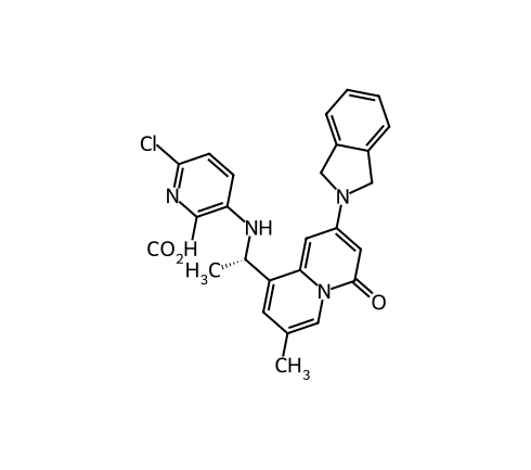 Cc1cc([C@H](C)Nc2ccc(Cl)nc2C(=O)O)c2cc(N3Cc4ccccc4C3)cc(=O)n2c1